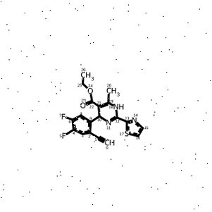 C#Cc1cc(F)c(F)cc1C1N=C(c2nccs2)NC(C)=C1C(=O)OCC